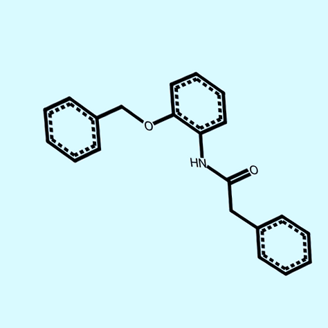 O=C(Cc1ccccc1)Nc1ccccc1OCc1ccccc1